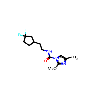 COc1nc(C)cn1C(=O)NCCC1CCC(F)(F)C1